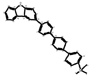 C[Si](C)(C)c1ccc(-c2ccc(-c3ccc(-c4ccc5sc6ccccc6c5c4)cc3)cc2)cc1